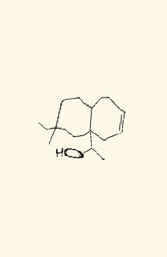 CC(O)C12CC=CCC1CCC(C)(C)C2